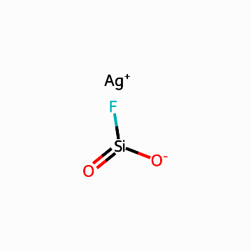 O=[Si]([O-])F.[Ag+]